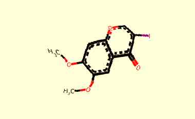 COc1cc2occ(I)c(=O)c2cc1OC